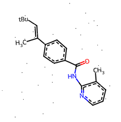 C/C(=C\C(C)(C)C)c1ccc(C(=O)Nc2ncccc2C)cc1